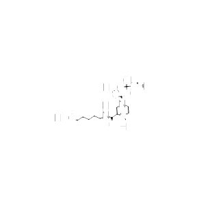 CCCCCCNC(=O)C1CN(C(=O)OC(C)(C)C)CCN1